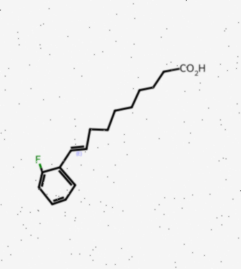 O=C(O)CCCCCCC/C=C/c1ccccc1F